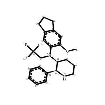 COc1cc2c(cc1N(CC(F)(F)F)[C@H]1CCCN[C@H]1c1ccccc1)CCC2